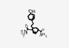 NC(=O)c1ccc(C(N)=O)c(CCc2ccc(O)cc2)c1